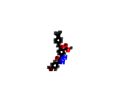 COC(=O)c1cc(NC(=O)Nc2ccc(OC)cc2)ccc1OCc1ccc(C(C)C)cc1